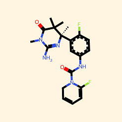 CN1C(=O)C(C)(C)[C@@](C)(c2cc(NC(=O)N3CC=CC=C3F)ccc2F)N=C1N